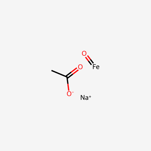 CC(=O)[O-].[Na+].[O]=[Fe]